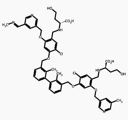 C/N=C/c1cncc(COc2cc(OCc3cccc(-c4cccc(COc5cc(OCc6cncc(C)c6)c(CN[C@H](CCO)C(=O)O)cc5Cl)c4C)c3C)c(Cl)cc2CN[C@H](CCO)C(=O)O)c1